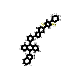 c1cc(-c2ccc3cc4c(cc3c2)sc2cc3c(cc24)sc2ccccc23)cc(-c2c3ccccc3c(-c3ccc4ccccc4c3)c3ccccc23)c1